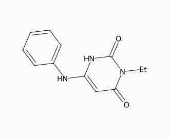 CCn1c(=O)cc(Nc2ccccc2)[nH]c1=O